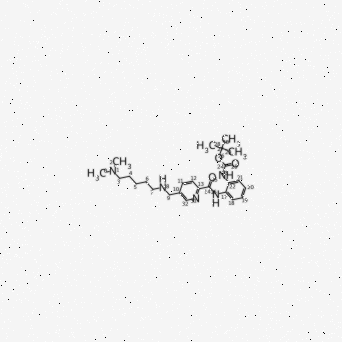 CN(C)CCCCCNCc1ccc(C(=O)Nc2ccccc2NC(=O)OC(C)(C)C)nc1